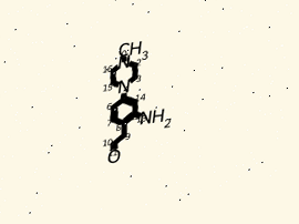 CN1CCN(c2ccc(CC=O)c(N)c2)CC1